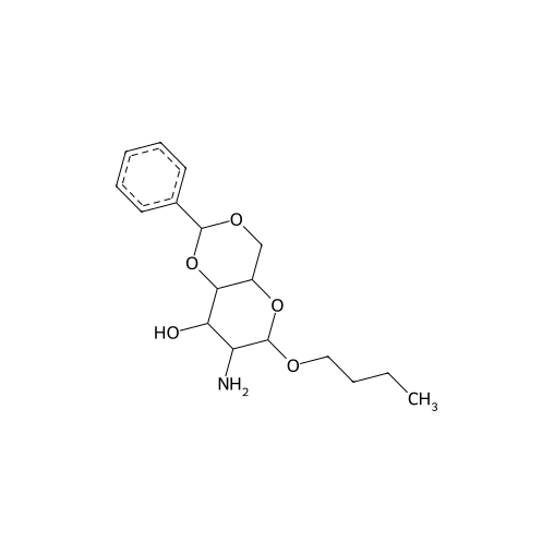 CCCCOC1OC2COC(c3ccccc3)OC2C(O)C1N